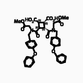 COC(=O)CN(Cc1ccc(Oc2ccccc2)cc1)C(=O)[C@H]1[C@@H](C(=O)O)[C@H](C(=O)O)[C@@H]1C(=O)N(CC(=O)OC)Cc1ccc(Oc2ccccc2)cc1